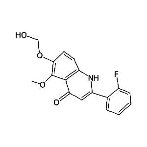 COc1c(OCO)ccc2[nH]c(-c3ccccc3F)cc(=O)c12